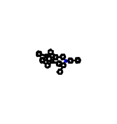 c1ccc(-c2ccc(N(c3ccc(-c4ccccc4)cc3)c3cccc(-c4ccc5c(c4)-c4ccccc4C54c5ccc(-c6ccccc6)cc5C5(c6ccccc6-c6ccccc65)c5ccc(-c6ccccc6)cc54)c3)cc2)cc1